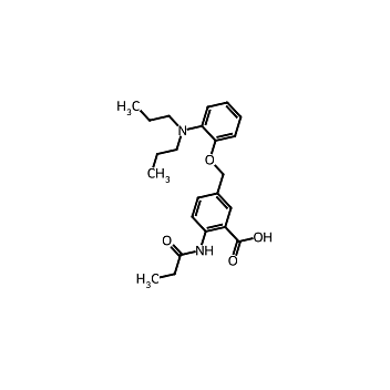 CCCN(CCC)c1ccccc1OCc1ccc(NC(=O)CC)c(C(=O)O)c1